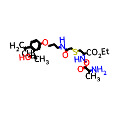 C=C(C)c1ccc(OCCCNC(=O)CSCC(NOC(=O)C(C)N)C(=O)OCC)cc1B(C)O